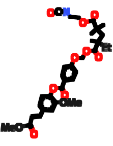 CCC(C)(CC(C)(C)C(=O)OCCN=C=O)C(=O)OCOc1ccc(C(=O)Oc2ccc(/C=C/C(=O)OC)cc2OC)cc1